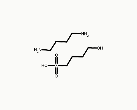 NCCCCN.O=S(=O)(O)CCCCO